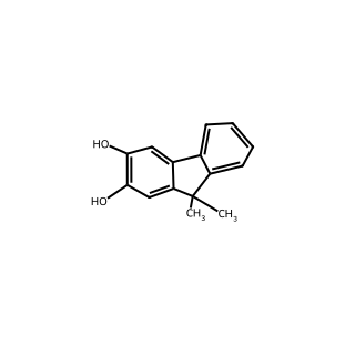 CC1(C)c2ccccc2-c2cc(O)c(O)cc21